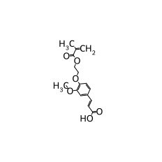 C=C(C)C(=O)OCCOc1ccc(/C=C/C(=O)O)cc1OC